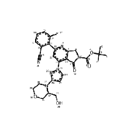 CC(C)(C)OC(=O)N1Cc2nc(-c3c(F)cccc3C#N)cc(-n3ccc(N4CCOCC4CO)n3)c2C1=O